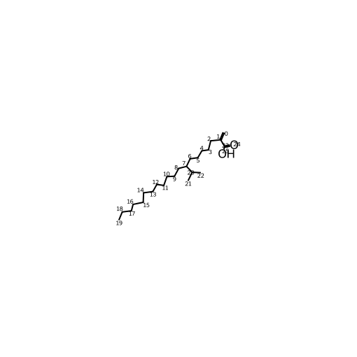 C=C(CCCCCC(CCCCCCCCCCCC)C(C)C)C(=O)O